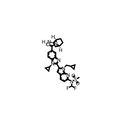 CS(=O)(=O)N(c1ccc2cc(-c3nc4cc(C(=O)N5[C@H]6CC[C@@H]5[C@H](N)C6)ccc4n3C3CC3)n(CC3CC3)c2n1)C(F)F